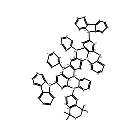 CC1(C)CCC(C)(C)c2cc(N3c4ccccc4B4c5cc6c(cc5N(c5ccccc5)c5cc(-n7c8ccccc8c8ccccc87)nc3c54)N(c3ccccc3)c3cc(-n4c5ccccc5c5ccccc54)nc4c3B6c3ccccc3O4)ccc21